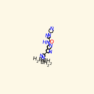 BC(B)(B)n1cc(-c2cnc3cnc(NC(=O)c4cnn(C5CCN(C)CC5)c4)cc3c2)cn1